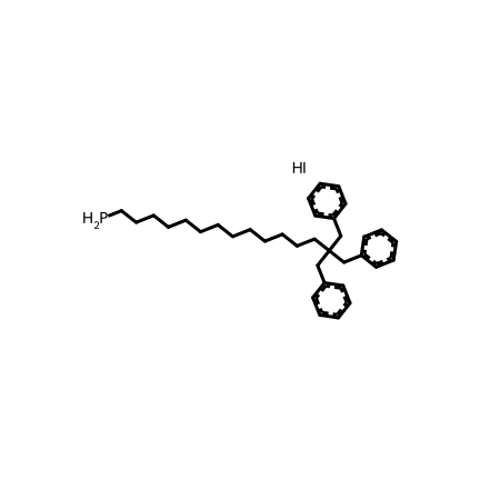 I.PCCCCCCCCCCCCCC(Cc1ccccc1)(Cc1ccccc1)Cc1ccccc1